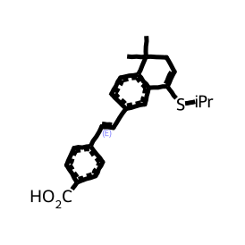 CC(C)SC1=CCC(C)(C)c2ccc(/C=C/c3ccc(C(=O)O)cc3)cc21